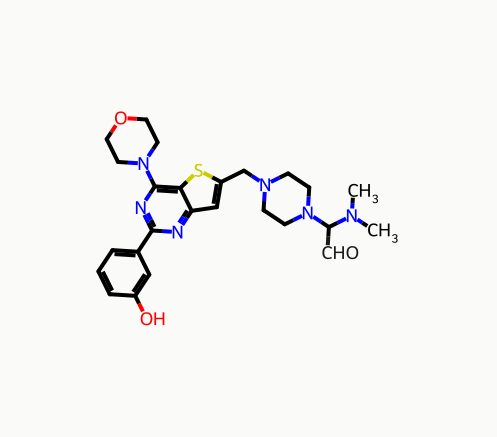 CN(C)C(C=O)N1CCN(Cc2cc3nc(-c4cccc(O)c4)nc(N4CCOCC4)c3s2)CC1